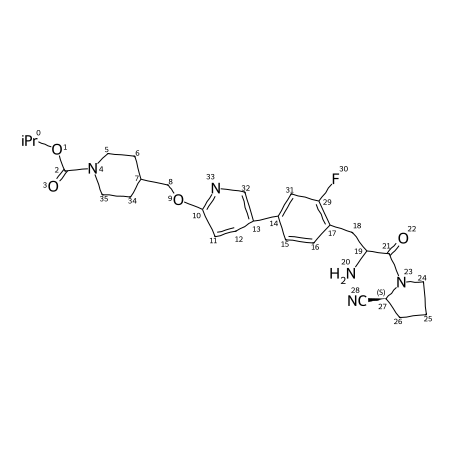 CC(C)OC(=O)N1CCC(COc2ccc(-c3ccc(CC(N)C(=O)N4CCC[C@H]4C#N)c(F)c3)cn2)CC1